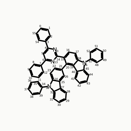 c1ccc(-c2cc(-c3ccccc3)nc(-c3ccc4c(c3-c3ccc5c(c3)c3ccccc3n5-c3ccccc3)c3ccccc3n4-c3ccccc3)n2)cc1